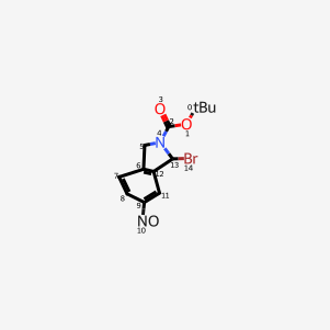 CC(C)(C)OC(=O)N1Cc2ccc(N=O)cc2C1Br